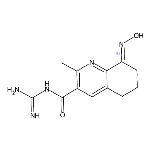 Cc1nc2c(cc1C(=O)NC(=N)N)CCC/C2=N\O